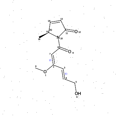 COC(/C=C/CO)=C/C(=O)N1C(=O)C=C[C@@H]1C